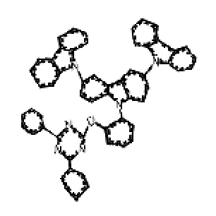 c1ccc(-c2nc(Oc3ccccc3-n3c4ccc(-n5c6ccccc6c6ccccc65)cc4c4cc(-n5c6ccccc6c6ccccc65)ccc43)nc(-c3ccccc3)n2)cc1